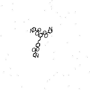 O=C(Oc1ccc(/C=C/c2cc(OC(=O)c3cccnc3)cc(OC(=O)c3cccnc3)c2)cc1)c1cccnc1